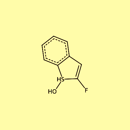 O[SH]1C(F)=Cc2ccccc21